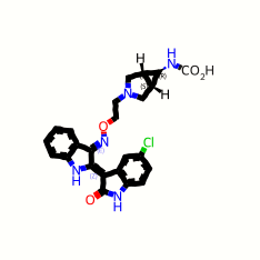 O=C(O)N[C@@H]1[C@@H]2CN(CCO/N=C3/C(=C4/C(=O)Nc5ccc(Cl)cc54)Nc4ccccc43)C[C@@H]21